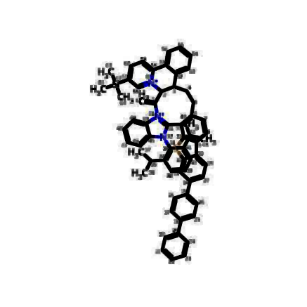 C=C1C2C(CCc3ccc4c(sc5cc(-c6ccc(-c7ccccc7)cc6)ccc54)c3-c3n(-c4c(C(C)C)cccc4C(C)C)c4ccccc4[n+]31)c1ccccc1-c1ccc([Si](C)(C)C)c[n+]12